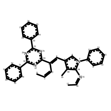 C/C=C\C(=C/c1cn(-c2ccccc2)c(/N=C\C)c1C)c1nc(-c2ccccc2)nc(-c2ccccc2)n1